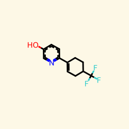 Oc1ccc(C2=CCC(C(F)(F)F)CC2)nc1